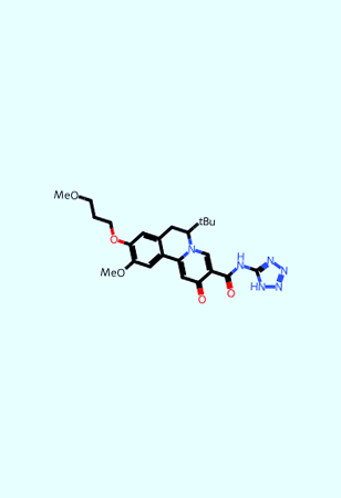 COCCCOc1cc2c(cc1OC)-c1cc(=O)c(C(=O)Nc3nnn[nH]3)cn1C(C(C)(C)C)C2